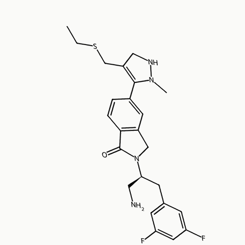 CCSCC1=C(c2ccc3c(c2)CN([C@H](CN)Cc2cc(F)cc(F)c2)C3=O)N(C)NC1